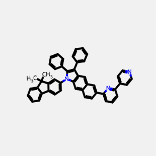 CC1(C)c2ccccc2-c2ccc(-n3c(-c4ccccc4)c(-c4ccccc4)c4cc5cc(-c6cccc(-c7ccncc7)n6)ccc5cc43)cc21